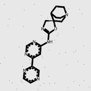 c1cnc(-c2cc(NC3=NC[C@@]4(CN5CCC4CC5)O3)ncn2)cn1